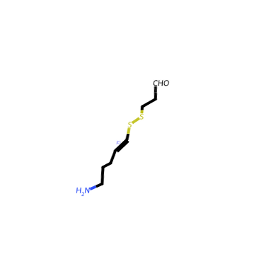 NCCC/C=C/SSCCC=O